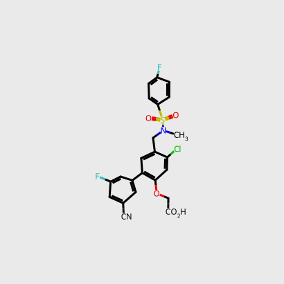 CN(Cc1cc(-c2cc(F)cc(C#N)c2)c(OCC(=O)O)cc1Cl)S(=O)(=O)c1ccc(F)cc1